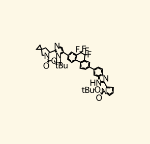 CC(C)(C)OC(=O)N1CC2(CC2)CC1c1ncc(-c2ccc3c(c2)C(F)(F)C(F)(F)c2cc(-c4ccc5nc(-c6cccn6C(=O)OC(C)(C)C)[nH]c5c4)ccc2-3)[nH]1